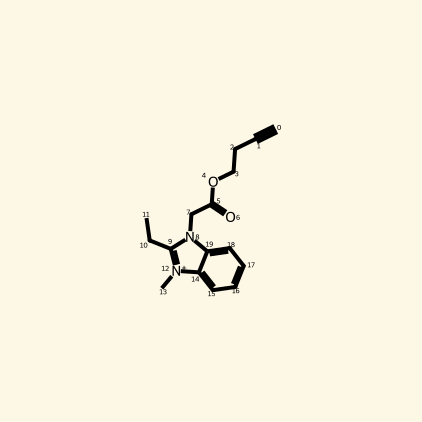 C#CCCOC(=O)Cn1c(CC)[n+](C)c2ccccc21